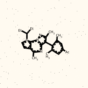 CCC(CC)n1ccc2c(C)nc3c(-c4c(C)cc(C(C)=O)cc4C)c(C)nn3c21